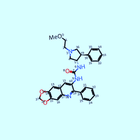 COCCN1C[C@@H](NC(=O)Nc2cc3cc4c(cc3nc2-c2ccccc2)OCO4)[C@H](c2ccccc2)C1